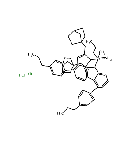 CCCc1ccc(-c2cccc3c2C=C(CC24CCC(CC2)C4)[CH]3[Zr]([CH3])(=[SiH2])([CH2]CC)[CH]2C(CC34CCC(CC3)C4)=Cc3c(-c4ccc(CCC)cc4)cccc32)cc1.Cl.Cl